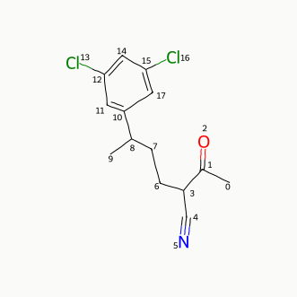 CC(=O)C(C#N)CCC(C)c1cc(Cl)cc(Cl)c1